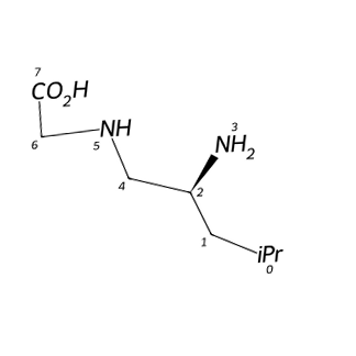 CC(C)C[C@H](N)CNCC(=O)O